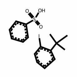 CC(C)(C)c1ccccc1I.O=S(=O)(O)c1ccccc1